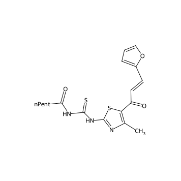 CCCCCC(=O)NC(=S)Nc1nc(C)c(C(=O)/C=C/c2ccco2)s1